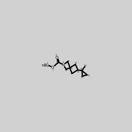 CCCCOC(=O)N1CC2(CC(C3(C)CC3)C2)C1